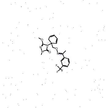 COc1nn(C)c(=O)n1C1(CO/N=C(\C)c2cccc(C(F)(F)F)c2)C=CC=CC1